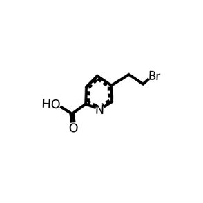 O=C(O)c1ccc(CCBr)cn1